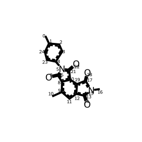 Cc1ccc(-n2c(=O)c3c(C)cc4c(=O)n(C)c(=O)c4c3c2=O)cc1